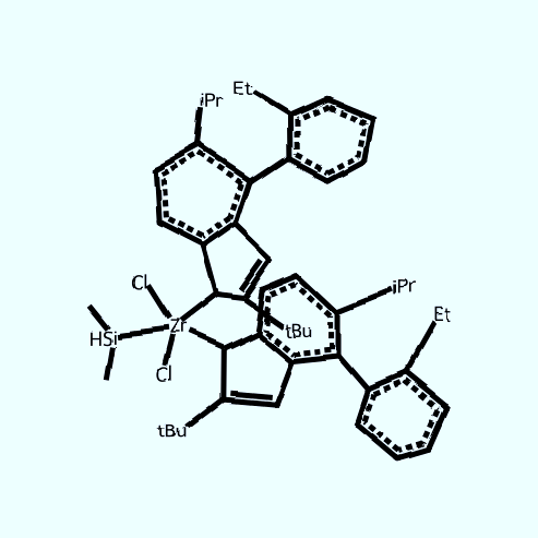 CCc1ccccc1-c1c(C(C)C)ccc2c1C=C(C(C)(C)C)[CH]2[Zr]([Cl])([Cl])([CH]1C(C(C)(C)C)=Cc2c1ccc(C(C)C)c2-c1ccccc1CC)[SiH](C)C